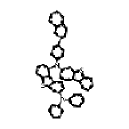 c1ccc(N(c2ccccc2)c2ccc3c(c2)sc2cccc(N(c4ccc(-c5ccc6ccccc6c5)cc4)c4ccc5c(c4)sc4ccccc45)c23)cc1